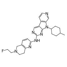 CC1CCC(n2c3cnccc3c3cnc(Nc4ccc5c(n4)CCN(CCF)C5)nc32)CC1